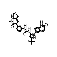 CN1C(=O)C(c2cccc(NC(=O)Nc3cc(C(C)(C)C)nn3-c3ccc4[nH]c(=O)ccc4c3)c2)C=C2C=NC=NC21